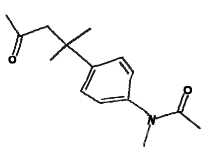 CC(=O)CC(C)(C)c1ccc(N(C)C(C)=O)cc1